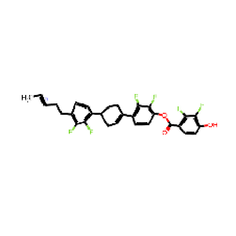 C/C=C/CCc1ccc(C2CC=C(c3ccc(OC(=O)c4ccc(O)c(F)c4F)c(F)c3F)CC2)c(F)c1F